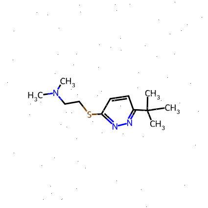 CN(C)CCSc1ccc(C(C)(C)C)nn1